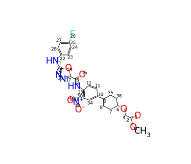 COC(=O)COC1CCC(c2ccc(NC(=O)c3nnc(Nc4ccc(F)cc4)o3)c([N+](=O)[O-])c2)CC1